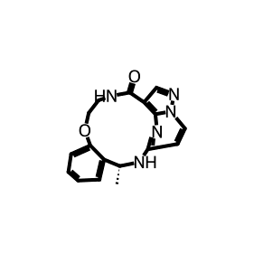 C[C@H]1Nc2ccn3ncc(c3n2)C(=O)NCCOc2ccccc21